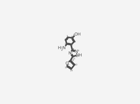 Nc1ccc(O)cc1-c1n[nH]c(-c2ccco2)n1